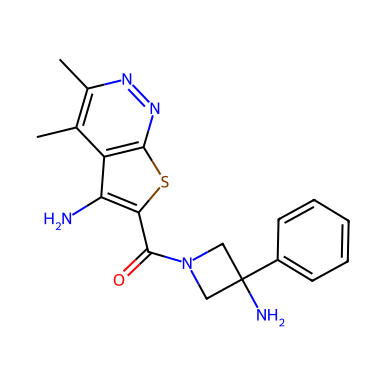 Cc1nnc2sc(C(=O)N3CC(N)(c4ccccc4)C3)c(N)c2c1C